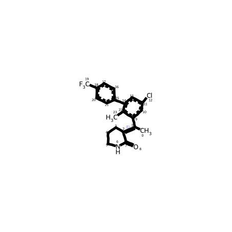 C/C(=C1/CCCNC1=O)c1cc(Cl)cc(-c2ccc(C(F)(F)F)cc2)c1C